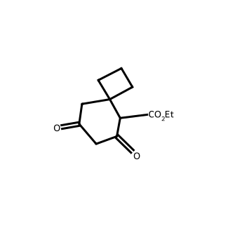 CCOC(=O)C1C(=O)CC(=O)CC12CCC2